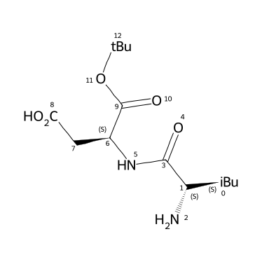 CC[C@H](C)[C@H](N)C(=O)N[C@@H](CC(=O)O)C(=O)OC(C)(C)C